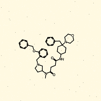 CN(C(=O)CCC(=O)NC1CCC(Cc2ccccc2)(N2CCOCC2)CC1)C1CCN(Cc2ccccc2OCc2ccccc2)C1